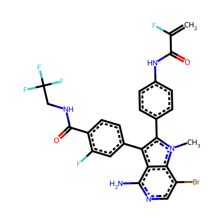 C=C(F)C(=O)Nc1ccc(-c2c(-c3ccc(C(=O)NCC(F)(F)F)c(F)c3)c3c(N)ncc(Br)c3n2C)cc1